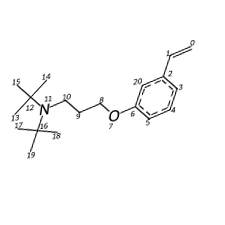 C=Cc1cccc(OCCCN(C(C)(C)C)C(C)(C)C)c1